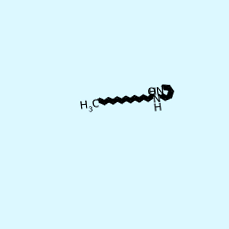 CCCCCCCCCCCCCC(=O)NC1=CC=CC=CN1